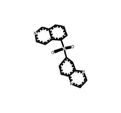 O=S(=O)(c1ccc2nccnc2c1)c1cccc2cnccc12